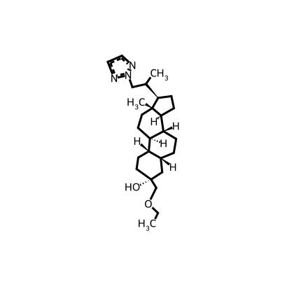 CCOC[C@@]1(O)CC[C@H]2[C@H](CC[C@@H]3[C@@H]2CC[C@]2(C)[C@@H](C(C)Cn4nccn4)CC[C@@H]32)C1